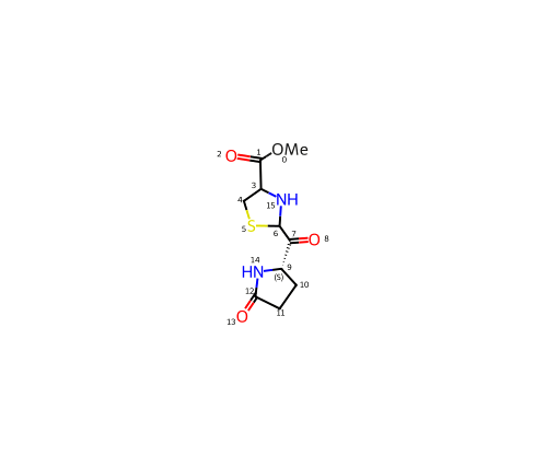 COC(=O)C1CSC(C(=O)[C@@H]2CCC(=O)N2)N1